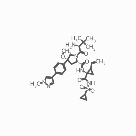 C=CC1C[C@]1(NC(=O)[C@@H]1C[C@@](OC)(c2ccc(-c3cnn(C)c3)cc2)CN1C(=O)[C@@H](N)C(C)(C)C)C(=O)NS(=O)(=O)C1CC1